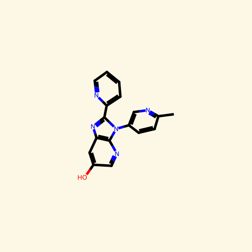 Cc1ccc(-n2c(-c3ccccn3)nc3cc(O)cnc32)cn1